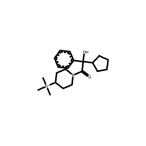 C[N+](C)(C)C1CCN(C(=O)C(O)(c2ccccc2)C2CCCC2)CC1